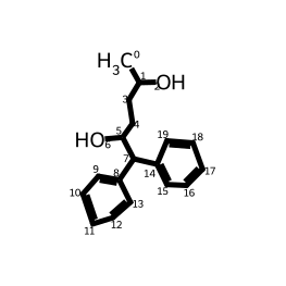 CC(O)CCC(O)C(c1ccccc1)c1ccccc1